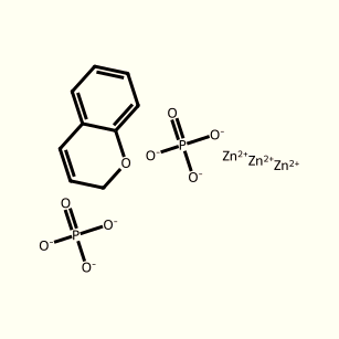 C1=Cc2ccccc2OC1.O=P([O-])([O-])[O-].O=P([O-])([O-])[O-].[Zn+2].[Zn+2].[Zn+2]